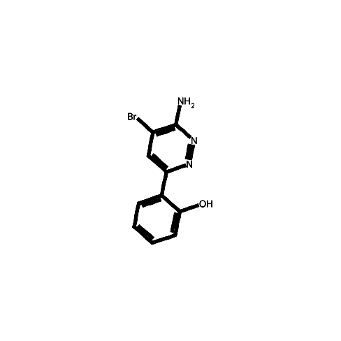 Nc1nnc(-c2ccccc2O)cc1Br